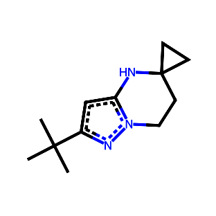 CC(C)(C)c1cc2n(n1)CCC1(CC1)N2